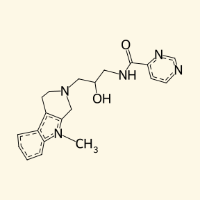 Cn1c2c(c3ccccc31)CCN(CC(O)CNC(=O)c1ccncn1)C2